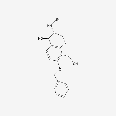 CC(C)N[C@@H]1CCc2c(ccc(OCc3ccccc3)c2CO)[C@H]1O